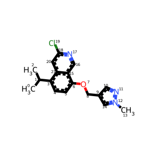 CC(C)c1ccc(OCc2cnn(C)c2)c2cnc(Cl)cc12